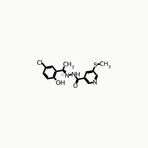 CSc1cncc(C(=O)N/N=C(\C)c2cc(Cl)ccc2O)c1